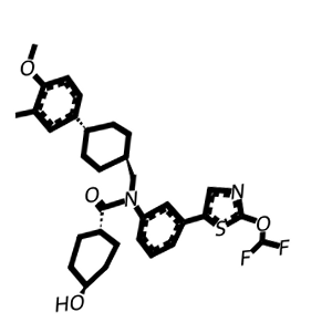 COc1ccc([C@H]2CC[C@H](CN(c3cccc(-c4cnc(OC(F)F)s4)c3)C(=O)[C@H]3CC[C@H](O)CC3)CC2)cc1C